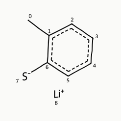 Cc1ccccc1[S-].[Li+]